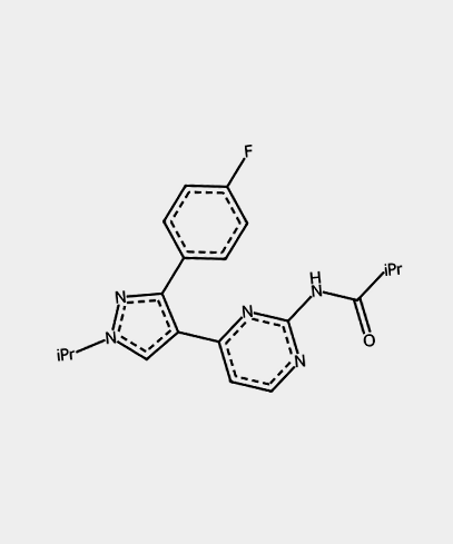 CC(C)C(=O)Nc1nccc(-c2cn(C(C)C)nc2-c2ccc(F)cc2)n1